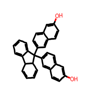 Oc1ccc2cc(C3(c4ccc5cc(O)ccc5c4)c4ccccc4C4C=CC=CC43)ccc2c1